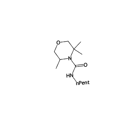 CCCCCNC(=O)N1C(C)COCC1(C)C